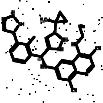 Cc1c([C@H](Nc2cc(C#N)c3ncc(C#N)c(NCC(C)(C)C)c3c2)C2=CN(C3(C(F)(F)F)CC3)NN2)cccc1N1C=NNN1